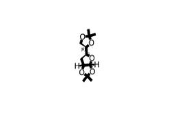 CC1(C)O[C@H]2O[C@H]([C@H]3COC(C)(C)O3)C[C@H]2O1